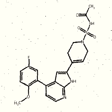 COc1ccc(F)cc1-c1ccnc2[nH]c(C3=CCN(S(=O)(=O)NC(C)=O)CC3)cc12